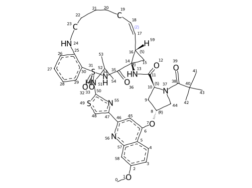 COc1ccc2c(O[C@@H]3C[C@@H](C(=O)N[C@]45C[C@H]4/C=C\CCCCCNc4ccccc4S(=O)(=O)NC5=O)N(C(=O)C(C)(C)C)C3)cc(-c3csc(NC(C)C)n3)nc2c1